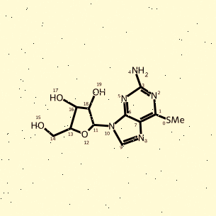 CSc1nc(N)nc2c1ncn2C1OC(CO)C(O)C1O